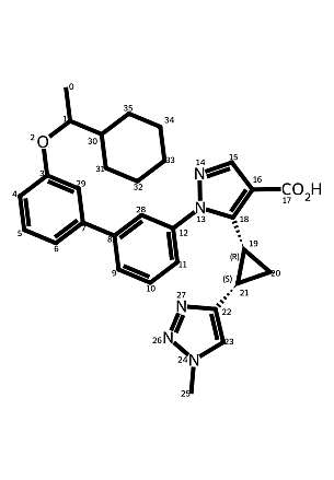 CC(Oc1cccc(-c2cccc(-n3ncc(C(=O)O)c3[C@@H]3C[C@@H]3c3cn(C)nn3)c2)c1)C1CCCCC1